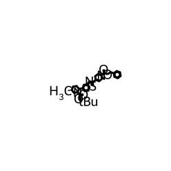 C[C@H]1CCC(c2ccc3sc(C4=CCN(C(=O)OCc5ccccc5)CC4)nc3c2)N(C(=O)OC(C)(C)C)C1